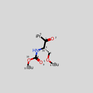 CC(C)C(=O)[C@H](COC(C)(C)C)NC(=O)OC(C)(C)C